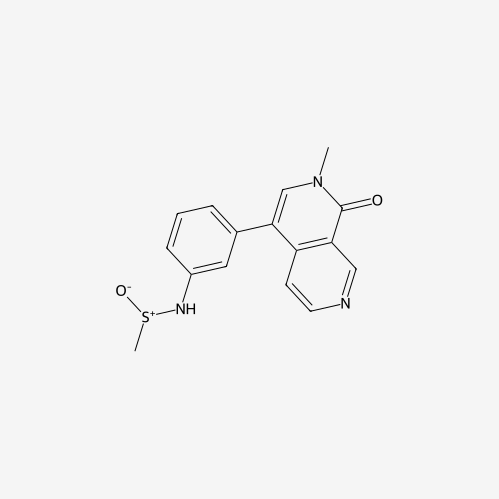 Cn1cc(-c2cccc(N[S+](C)[O-])c2)c2ccncc2c1=O